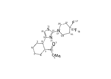 COC(=O)C1CCCCC1c1csc(N2CCC(F)(F)CC2)n1